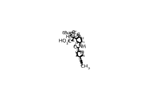 CC#Cc1ccc(C(=O)Nc2ccc(F)c([C@](C)(CC(=O)O)N[S@+]([O-])C(C)(C)C)c2)nc1